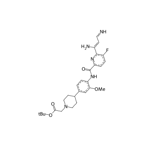 COc1cc(C2CCN(CC(=O)OC(C)(C)C)CC2)ccc1NC(=O)c1ccc(F)c(/C(N)=C/C=N)n1